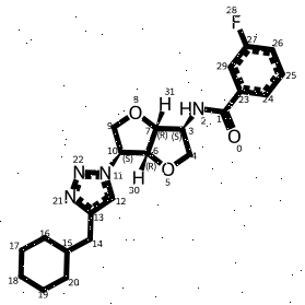 O=C(N[C@H]1CO[C@H]2[C@@H]1OC[C@@H]2n1cc(CC2CCCCC2)nn1)c1cccc(F)c1